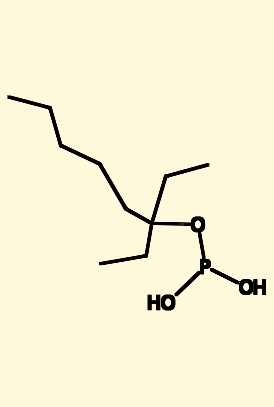 CCCCCC(CC)(CC)OP(O)O